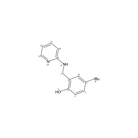 CC(C)(C)c1ccc(O)c(CNc2ccccn2)c1